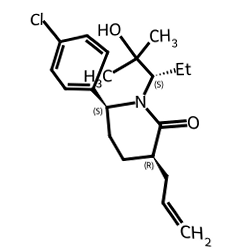 C=CC[C@H]1CC[C@@H](c2ccc(Cl)cc2)N([C@@H](CC)C(C)(C)O)C1=O